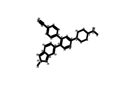 CNC1CCN(c2cc(-c3ccc(C#N)cc3)c(-c3ccc4cn(C)nc4c3)cn2)CC1